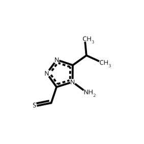 CC(C)c1nnc(C=S)n1N